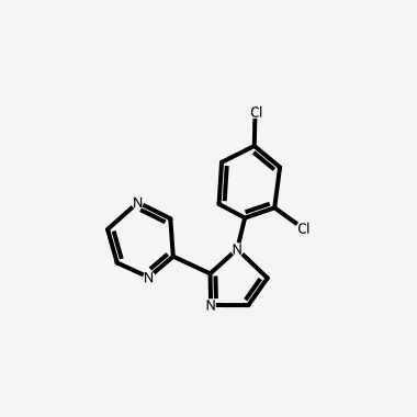 Clc1ccc(-n2ccnc2-c2cnccn2)c(Cl)c1